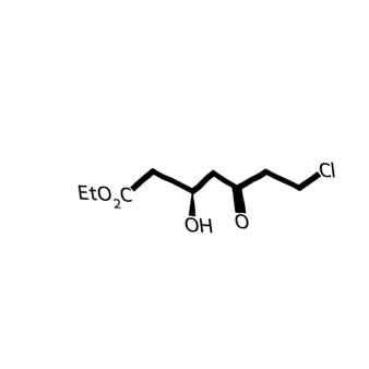 CCOC(=O)C[C@H](O)CC(=O)CCCl